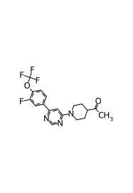 CC(=O)C1CCN(c2cc(-c3ccc(OC(F)(F)F)c(F)c3)ncn2)CC1